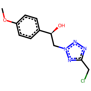 COc1ccc([C@@H](O)Cn2nnc(CCl)n2)cc1